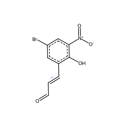 O=C/C=C/c1cc(Br)cc([N+](=O)[O-])c1O